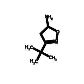 CC(C)(C)C1=NOC(N)C1